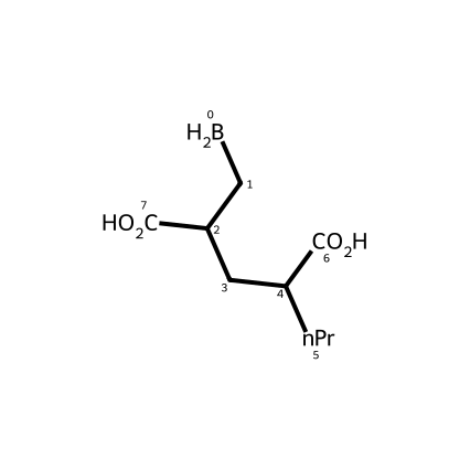 BCC(CC(CCC)C(=O)O)C(=O)O